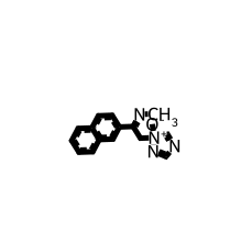 CN=C(C[N+]1([O-])C=NC=N1)c1ccc2ccccc2c1